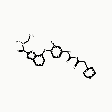 CCN(C)C(=O)c1cc2nccc(Oc3ccc(NC(=S)NC(=O)Cc4ccccc4)cc3F)c2s1